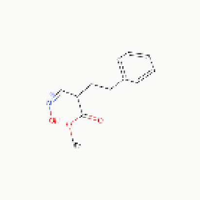 CC(C)OC(=O)C(/C=N\O)CCc1ccccc1